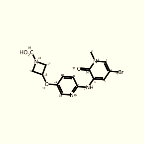 Cn1cc(Br)cc(Nc2ccc(OC3CN(C(=O)O)C3)cn2)c1=O